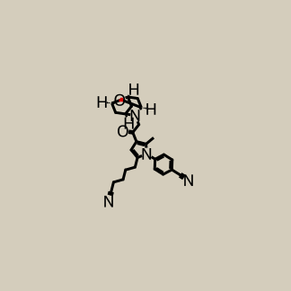 Cc1c(C(=O)CN2[C@H]3C[C@H]4C[C@@H]2C[C@@H](C3)O4)cc(CCCCC#N)n1-c1ccc(C#N)cc1